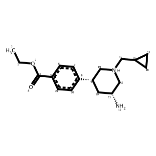 CCOC(=O)c1ccc([C@H]2C[C@@H](N)CN(CC3CC3)C2)cc1